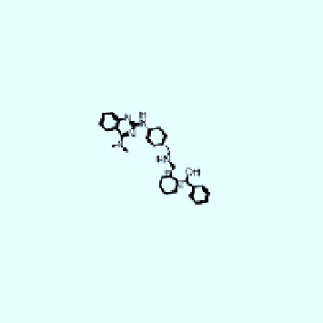 CN(C)c1nc(N[C@H]2CC[C@@H](CNC[C@@H]3CCCC[C@H]3C(O)c3ccccc3)CC2)nc2ccccc12